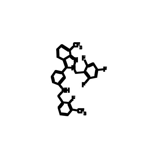 Fc1cc(F)c(Cn2nc3c(C(F)(F)F)cccc3c2-c2cccc(NCc3cccc(C(F)(F)F)c3F)c2)c(F)c1